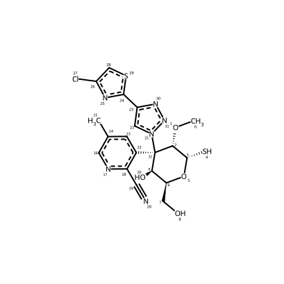 CO[C@@H]1[C@H](S)O[C@@H](CO)[C@@H](O)[C@@]1(c1cc(C)cnc1C#N)n1cc(-c2nc(Cl)cs2)nn1